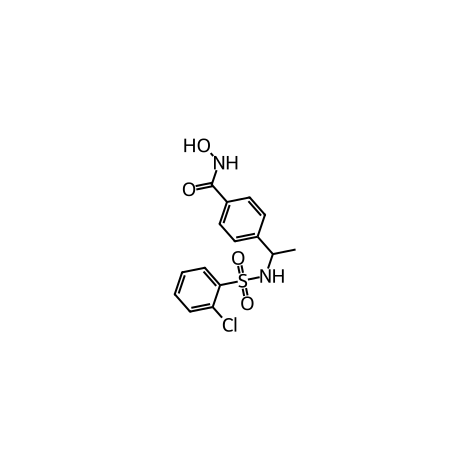 CC(NS(=O)(=O)c1ccccc1Cl)c1ccc(C(=O)NO)cc1